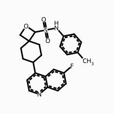 Cc1ccc(NS(=O)(=O)C2OCC23CCC(c2ccnc4ccc(F)cc24)CC3)cc1